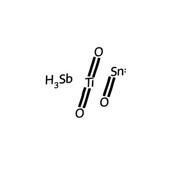 [O]=[Sn].[O]=[Ti]=[O].[SbH3]